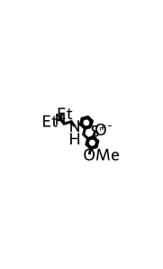 CCN(CC)CCNc1cccc2c1Cc1cc(OC)ccc1[S+]2[O-]